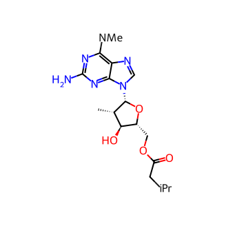 CNc1nc(N)nc2c1ncn2[C@@H]1O[C@H](COC(=O)CC(C)C)[C@@H](O)[C@@H]1C